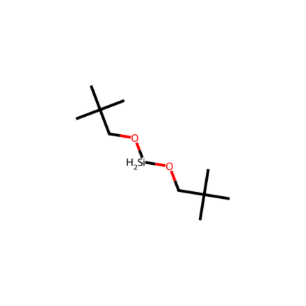 CC(C)(C)CO[SiH2]OCC(C)(C)C